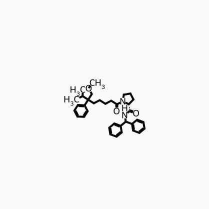 COCC(CCCCC(=O)N1CCC[C@@H]1C(=O)NC(c1ccccc1)c1ccccc1)(c1ccccc1)C(C)C